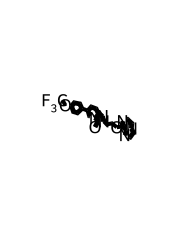 O=c1n(CCOc2nccn3ccnc23)nc2ccc(-c3ccc(OC(F)(F)F)cc3)cn12